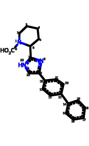 O=C(O)N1CCCCC1c1nc(-c2ccc(-c3ccccc3)cc2)c[nH]1